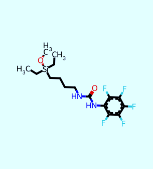 CC[Si](CC)(CCCCNC(=O)Nc1c(F)c(F)c(F)c(F)c1F)OC